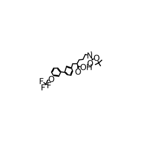 CN(CCCC(Cc1cccc(-c2cccc(OCC(F)(F)F)c2)c1)C(=O)O)C(=O)OC(C)(C)C